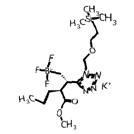 CCC[C@H](C(=O)OC)[C@H](C[B-](F)(F)F)c1nnnn1COCC[Si](C)(C)C.[K+]